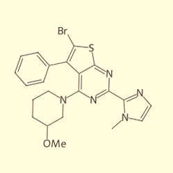 COC1CCCN(c2nc(-c3nccn3C)nc3sc(Br)c(-c4ccccc4)c23)C1